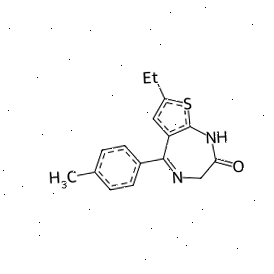 CCc1cc2c(s1)NC(=O)CN=C2c1ccc(C)cc1